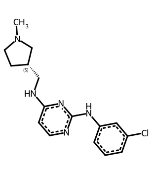 CN1CC[C@@H](CNc2ccnc(Nc3cccc(Cl)c3)n2)C1